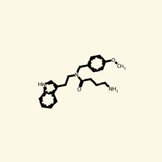 COc1ccc(CN(CCc2c[nH]c3ccccc23)C(=O)CCCN)cc1